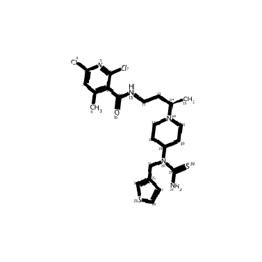 Cc1cc(Cl)nc(Cl)c1C(=O)NCC[C@@H](C)N1CCC(N(Cc2ccsc2)C(N)=S)CC1